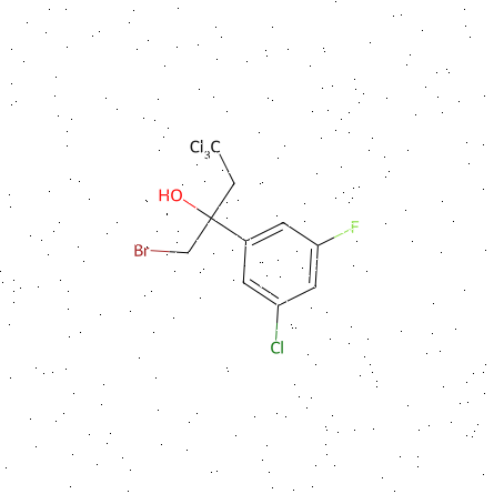 OC(CBr)(CC(Cl)(Cl)Cl)c1cc(F)cc(Cl)c1